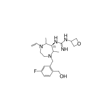 C=CN1CCN(Cc2cc(F)ccc2CO)C(C)[C@H](NC(=N)NC2COC2)C1C